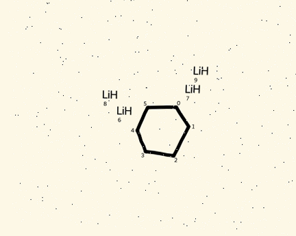 C1CCCCC1.[LiH].[LiH].[LiH].[LiH]